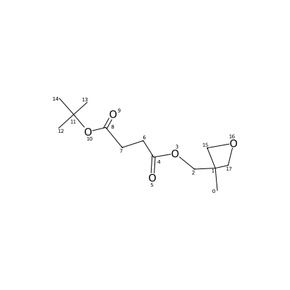 CC1(COC(=O)CCC(=O)OC(C)(C)C)COC1